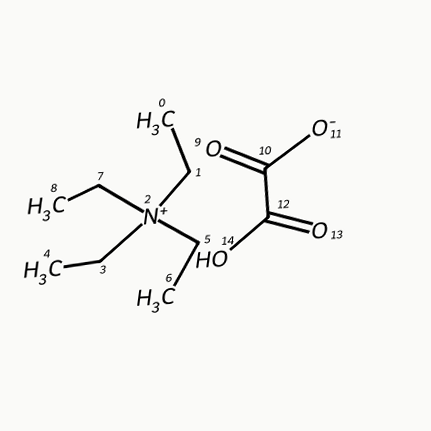 CC[N+](CC)(CC)CC.O=C([O-])C(=O)O